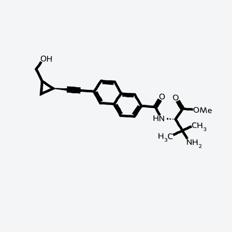 COC(=O)[C@@H](NC(=O)c1ccc2cc(C#C[C@H]3CC3CO)ccc2c1)C(C)(C)N